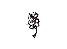 CC(C1CCC2(C)C3Cc4ccc(O)cc4C12CCN3CC1CC1)N(C)C(=O)c1ccc[nH]c1=O